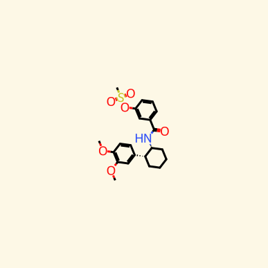 COc1ccc([C@H]2CCCC[C@H]2NC(=O)c2cccc(OS(C)(=O)=O)c2)cc1OC